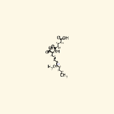 CCCC/C(C)=C/CSCC(NC(=O)CCCC(=O)O)C(=O)O